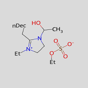 CCCCCCCCCCCC1=[N+](CC)CCN1C(C)O.CCOS(=O)(=O)[O-]